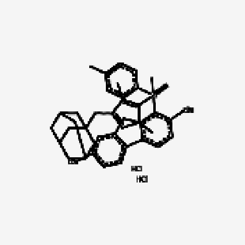 Cl.Cl.[CH2]=[Zr]([CH3])([C]1=C(C)C(CC23CC4CC(CC(C4)C2)C3)=CC1C)([c]1ccc(C)cc1)[c]1c(C(C)(C)C)ccc2c1Cc1cc(C(C)(C)C)ccc1-2